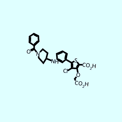 O=C(O)COc1c(C(=O)O)sc(-c2cccc(NC3CCN(C(=O)c4ccccc4)CC3)c2)c1Cl